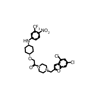 O=C(CO[C@H]1CC[C@H](Nc2ccc([N+](=O)[O-])c(C(F)(F)F)c2)CC1)N1CCN(Cc2cc3c(Cl)cc(Cl)cc3o2)CC1